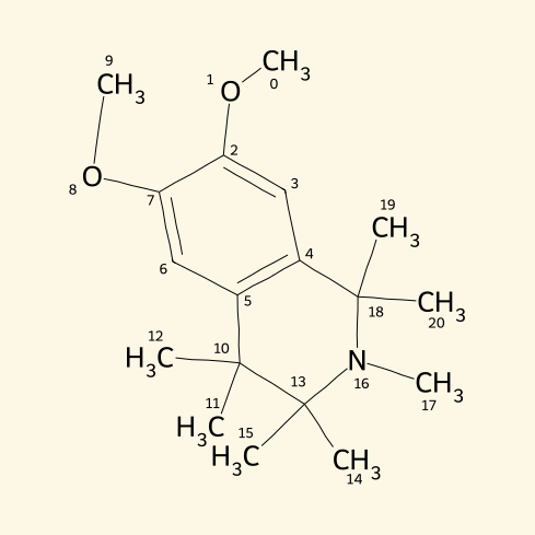 COc1cc2c(cc1OC)C(C)(C)C(C)(C)N(C)C2(C)C